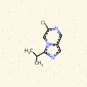 CC(C)c1ncc2cnc(Cl)cn12